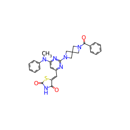 CN(c1ccccc1)c1cc(/C=C2\SC(=O)NC2=O)nc(N2CC3(CN(C(=O)c4ccccc4)C3)C2)n1